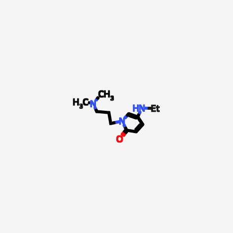 CCNc1ccc(=O)n(CCCN(C)C)c1